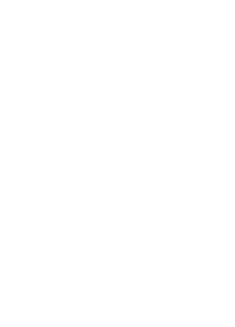 CCCCCCCCCC/C=C/C(F)(F)C(=O)O